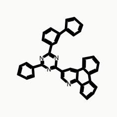 c1ccc(-c2cccc(-c3nc(-c4ccccc4)nc(-c4cnc5c6ccccc6c6ccccc6c5c4)n3)c2)cc1